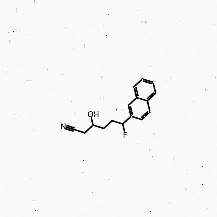 N#CCC(O)CCC(F)c1ccc2ccccc2c1